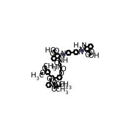 CCC(C)(C)C(=O)C(=O)N1CCCCC1C(=O)OC(CCc1ccc(OC)c(OC)c1)c1cccc(OCC(=O)NCC(=O)Nc2c(/N=N/c3ccc(-c4ccc(/N=N/c5cc(S(=O)(=O)O)c6ccccc6c5N)cc4)cc3)cc(S(=O)(=O)O)c3ccccc23)c1